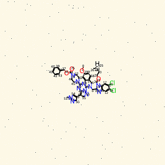 COc1ccc(CN(Cc2nc3cc(Cl)c(Cl)cc3n2COCC[SiH](C)C)c2nc(N3CCN(C(=O)OCc4ccccc4)CC3)nc3c(-c4cnn(C)c4)cnn23)cc1